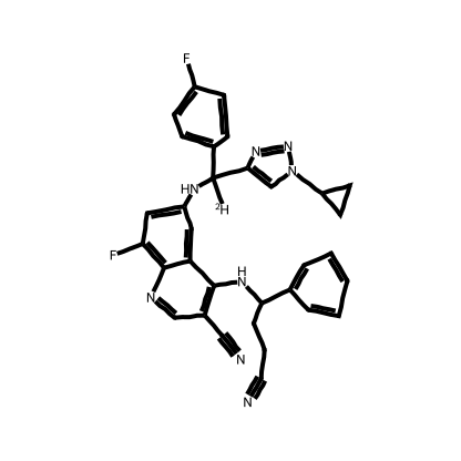 [2H]C(Nc1cc(F)c2ncc(C#N)c(NC(CCC#N)c3ccccc3)c2c1)(c1ccc(F)cc1)c1cn(C2CC2)nn1